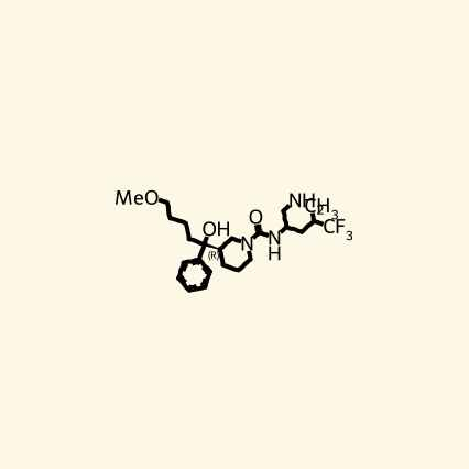 COCCCCC(O)(c1ccccc1)[C@@H]1CCCN(C(=O)NC(CN)CC(C)C(F)(F)F)C1